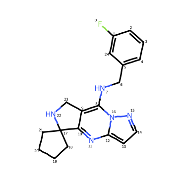 Fc1cccc(CNc2c3c(nc4ccnn24)C2(CCCC2)NC3)c1